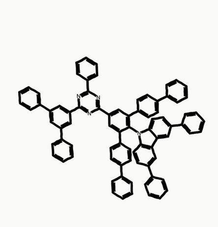 c1ccc(-c2ccc(-c3cc(-c4nc(-c5ccccc5)nc(-c5cc(-c6ccccc6)cc(-c6ccccc6)c5)n4)cc(-c4ccc(-c5ccccc5)cc4)c3-n3c4ccc(-c5ccccc5)cc4c4cc(-c5ccccc5)ccc43)cc2)cc1